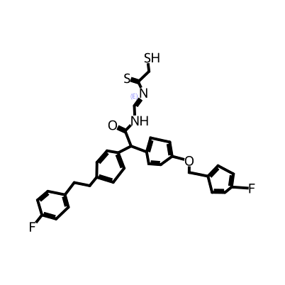 O=C(N/C=N/C(=S)CS)C(c1ccc(CCc2ccc(F)cc2)cc1)c1ccc(OCc2ccc(F)cc2)cc1